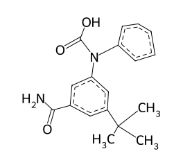 CC(C)(C)c1cc(C(N)=O)cc(N(C(=O)O)c2ccccc2)c1